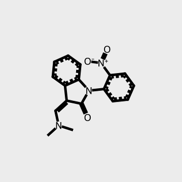 CN(C)C=C1C(=O)N(c2ccccc2[N+](=O)[O-])c2ccccc21